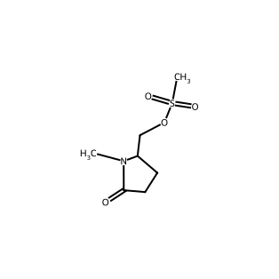 CN1C(=O)CCC1COS(C)(=O)=O